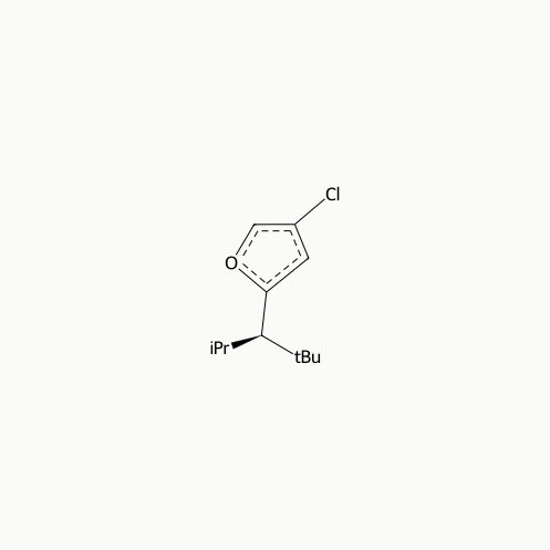 CC(C)[C@@H](c1cc(Cl)co1)C(C)(C)C